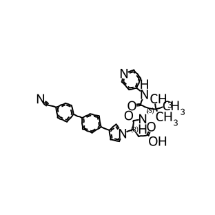 CC(C)(C)[C@H](NC(=O)[C@@H](CC(=O)O)n1ccc(-c2ccc(-c3ccc(C#N)cc3)cc2)c1)C(=O)Nc1ccncc1